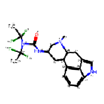 CN1CC(NC(=O)N(C(F)(F)C(F)(F)F)C(F)(F)C(F)(F)F)CC2c3cccc4[nH]cc(c34)CC21